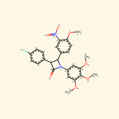 COc1ccc(C2C(c3ccc(F)cc3)C(=O)N2c2cc(OC)c(OC)c(OC)c2)cc1[N+](=O)[O-]